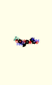 O=C1CCc2c(Oc3ccc(O)c(C4C5CC54c4nc5ccc(OC(F)(F)F)cc5[nH]4)c3)ccnc2N1